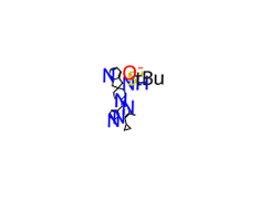 Cc1nc(N2CCC3(CC2)Cc2ncccc2[C@H]3N[S+]([O-])C(C)(C)C)c2ccnn2c1C1CC1